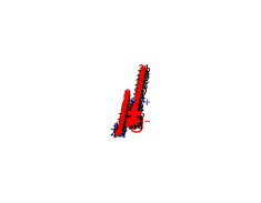 CCCCCCCCCCCCCCCC[N+](C)(C)CC.CCCCCCCCCCCCCCCC[N+](C)(C)CC.O=C([O-])c1ccccc1S(=O)(=O)c1ccccc1C(=O)[O-]